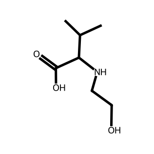 CC(C)C(NCCO)C(=O)O